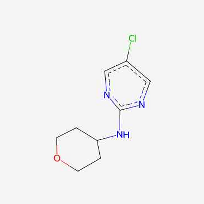 Clc1cnc(NC2CCOCC2)nc1